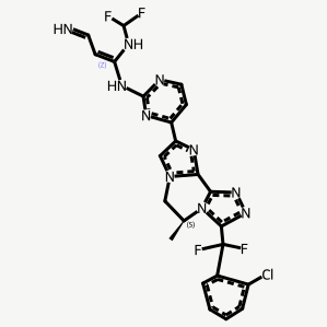 C[C@H]1Cn2cc(-c3ccnc(N/C(=C/C=N)NC(F)F)n3)nc2-c2nnc(C(F)(F)c3ccccc3Cl)n21